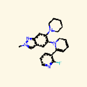 Cn1cc2cc(N3CC=CC=C3c3cccnc3F)c(N3CCCCC3)cc2n1